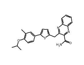 Cc1cc(-c2ccc(Cc3nc4ccccc4nc3C(N)=O)s2)ccc1OC(C)C